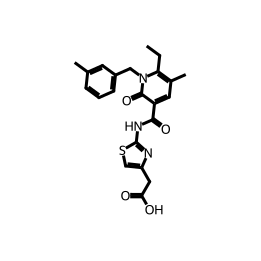 CCc1c(C)cc(C(=O)Nc2nc(CC(=O)O)cs2)c(=O)n1Cc1cccc(C)c1